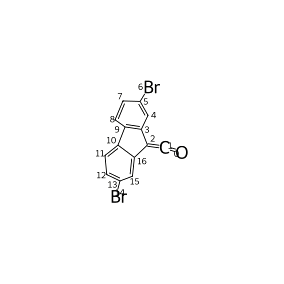 O=C=C1c2cc(Br)ccc2-c2ccc(Br)cc21